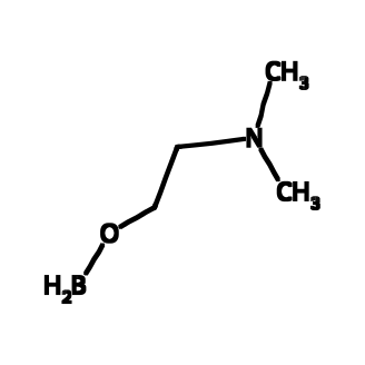 BOCCN(C)C